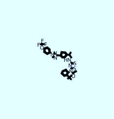 CC(CNC(=S)/N=C1\SCC(=O)N1c1ccccc1C(C)(C)C)c1ccc(-c2ncn(-c3ccc(OC(F)(F)F)cc3)n2)cc1